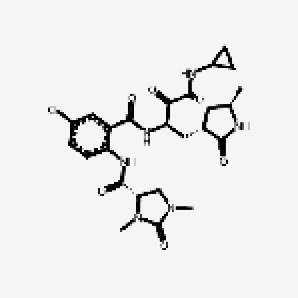 C[C@@H]1C[C@@H](CC(NC(=O)c2cc(Cl)ccc2NC(=O)[C@@H]2CN(C)C(=O)N2C)C(=O)C(=O)NC2CC2)C(=O)N1